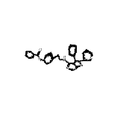 O=C(Nc1ccc(CCNc2ncnc3oc(-c4ccccc4)c(-c4ccccc4)c23)cc1)c1ccccc1